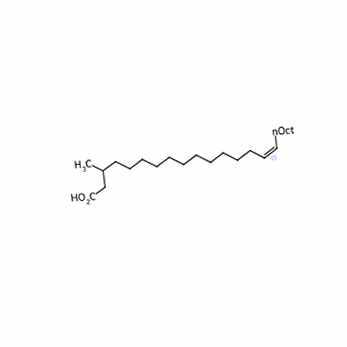 CCCCCCCC/C=C\CCCCCCCCCCCC(C)CC(=O)O